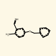 N=Cc1cc(OCc2ccccc2)ccc1N